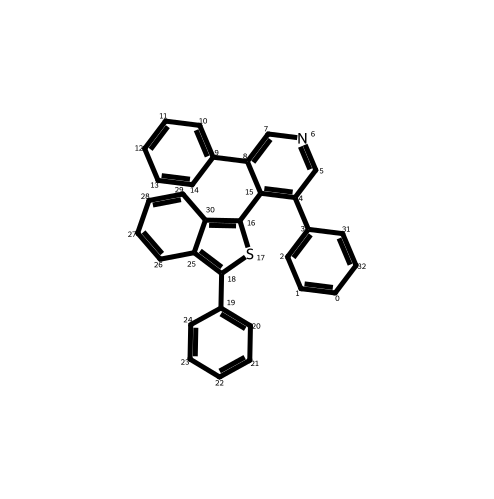 c1ccc(-c2cncc(-c3ccccc3)c2-c2sc(-c3ccccc3)c3ccccc23)cc1